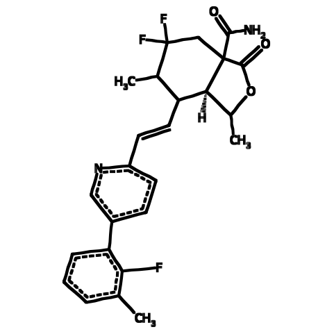 Cc1cccc(-c2ccc(/C=C/C3C(C)C(F)(F)CC4(C(N)=O)C(=O)OC(C)[C@@H]34)nc2)c1F